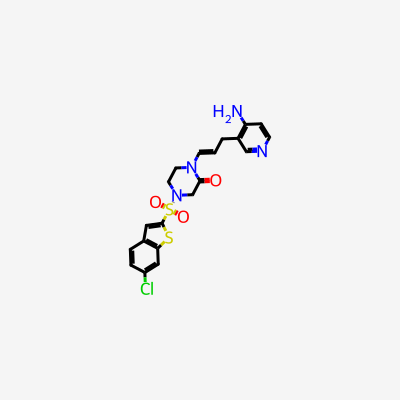 Nc1ccncc1CC=CN1CCN(S(=O)(=O)c2cc3ccc(Cl)cc3s2)CC1=O